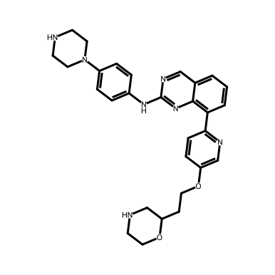 c1cc(-c2ccc(OCCC3CNCCO3)cn2)c2nc(Nc3ccc(N4CCNCC4)cc3)ncc2c1